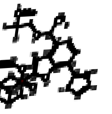 COC(C)(C)COC(c1ccc(-c2nccs2)c2oc(N3CC4CC(C3)N4C(=O)OC(C)(C)C)nc12)C(F)(F)F